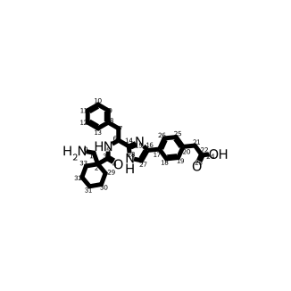 NCC1(C(=O)NC(Cc2ccccc2)c2nc(-c3ccc(CC(=O)O)cc3)c[nH]2)CCCCC1